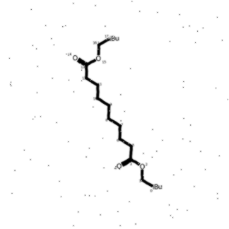 CCC(C)COC(=O)CCCCCCCCC(=O)OCC(C)CC